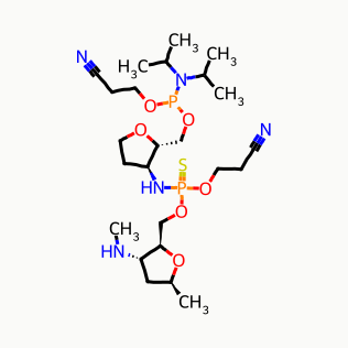 CN[C@H]1C[C@H](C)O[C@@H]1COP(=S)(N[C@H]1CCO[C@@H]1COP(OCCC#N)N(C(C)C)C(C)C)OCCC#N